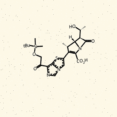 C[C@@H](O)[C@H]1C(=O)N2C(C(=O)O)=C(c3cn4cnc(C(=O)CO[Si](C)(C)C(C)(C)C)c4s3)[C@H](C)[C@H]12